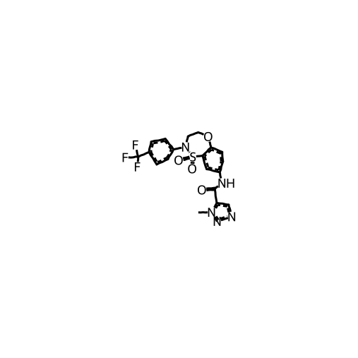 Cn1nncc1C(=O)Nc1ccc2c(c1)S(=O)(=O)N(c1ccc(C(F)(F)F)cc1)CCO2